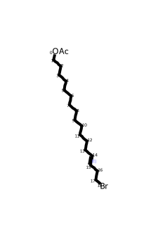 CC(=O)OCCCCCCCCCCCCC/C=C/CCBr